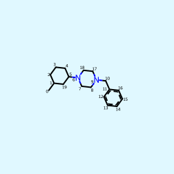 CC1CCCC(N2CCN(Cc3ccccc3)CC2)C1